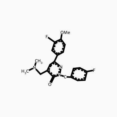 COc1ccc(-c2cc(CN(C)C)c(=O)n(Cc3ccc(F)cc3)n2)cc1F